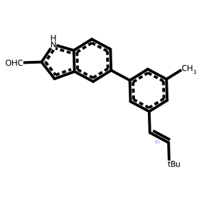 Cc1cc(/C=C/C(C)(C)C)cc(-c2ccc3[nH]c(C=O)cc3c2)c1